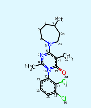 CCC1CCCN(c2nc(C)n(-c3cccc(Cl)c3Cl)c(=O)c2C)CC1